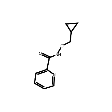 O=C(NOCC1CC1)c1ccccn1